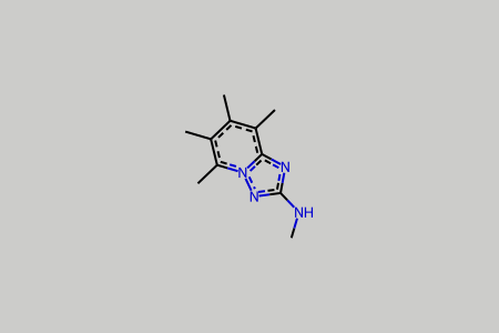 CNc1nc2c(C)c(C)c(C)c(C)n2n1